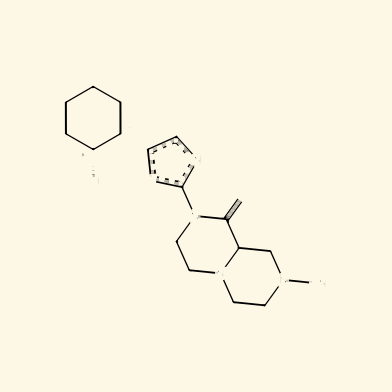 C[C@@H]1CCCC[C@@H]1c1cnc(N2CCN3CCN(C#N)CC3C2=O)s1